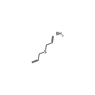 B.C=CCSCC=C